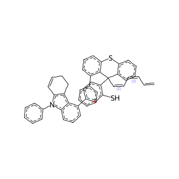 C=C/C=C\C=C/C1(c2ccc(-c3cccc4c3c3c(n4-c4ccccc4)C=CCC3)cc2S)c2ccccc2Sc2cccc(-c3ccccc3)c21